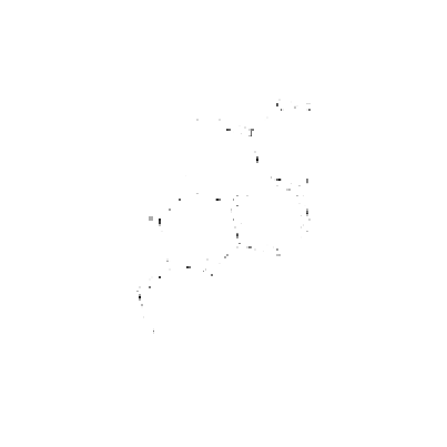 COC(=O)c1cccc2c1OC/C(=C/O)N2